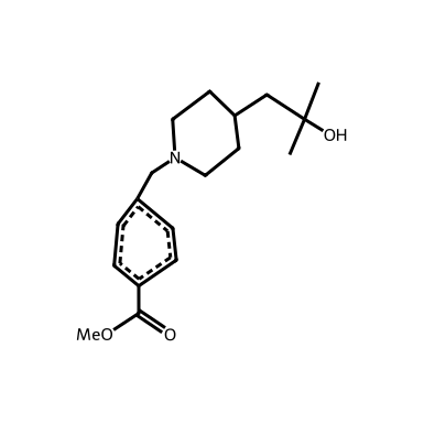 COC(=O)c1ccc(CN2CCC(CC(C)(C)O)CC2)cc1